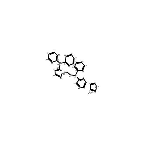 [Fe+2].c1cc[cH-]c1.c1ccc(P(CC[c-]2cccc2P(c2ccccc2)c2ccccc2)c2ccccc2)cc1